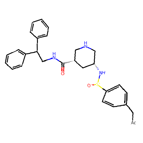 CC(=O)Cc1ccc([S+]([O-])N[C@H]2CNC[C@@H](C(=O)NCC(c3ccccc3)c3ccccc3)C2)cc1